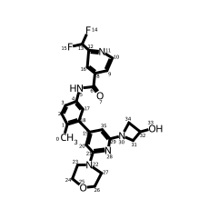 Cc1ccc(NC(=O)c2ccnc(C(F)F)c2)cc1-c1cc(N2CCOCC2)nc(N2CC(O)C2)c1